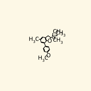 CC[N+](C)(CC)C1Cc2cc(C)cc(-c3ccc(OC)cc3)c2O1